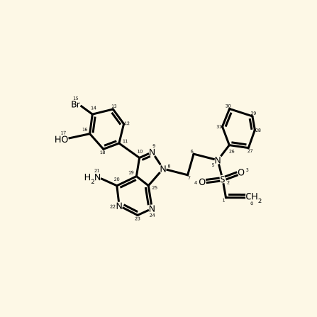 C=CS(=O)(=O)N(CCn1nc(-c2ccc(Br)c(O)c2)c2c(N)ncnc21)c1ccccc1